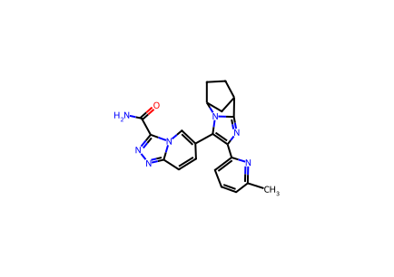 Cc1cccc(-c2nc3n(c2-c2ccc4nnc(C(N)=O)n4c2)C2CCC3C2)n1